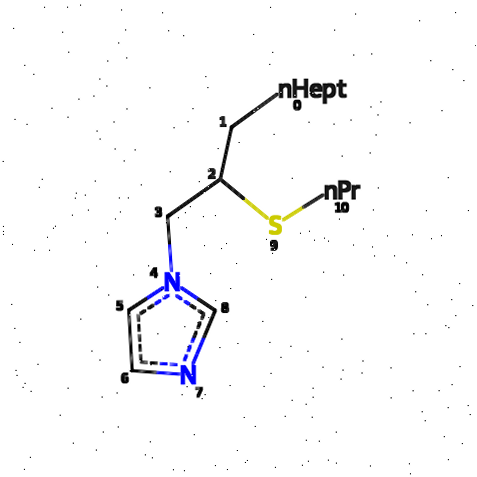 CCCCCCCCC(Cn1ccnc1)SCCC